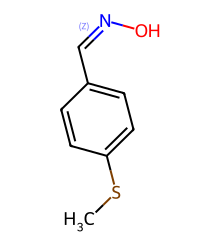 CSc1ccc(/C=N\O)cc1